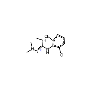 CN/C(=N\N(C)C)Nc1c(Cl)cccc1Cl